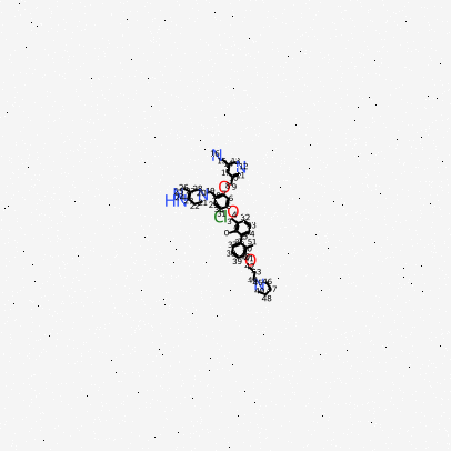 Cc1c(COc2cc(OCc3cncc(C#N)c3)c(CN3CCc4[nH]ncc4C3)cc2Cl)cccc1-c1cccc(OCCCN2CCCC2)c1C